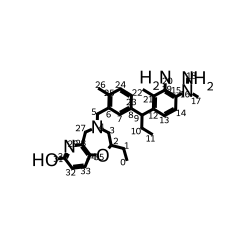 CCC1CN(Cc2cc(C(CC)c3ccc(N(C)N)c(N)c3C)ccc2C)Cc2nc(O)ccc2O1